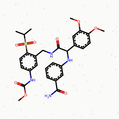 COC(=O)Nc1ccc(S(=O)(=O)C(C)C)c(CNC(=O)C(Nc2cccc(C(N)=O)c2)c2ccc(OC)c(OC)c2)c1